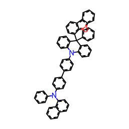 c1ccc(N(c2ccc(-c3ccc(N4c5ccccc5C(c5ccccc5)(c5cccc6c5oc5ccccc56)c5ccccc54)cc3)cc2)c2cccc3ccccc23)cc1